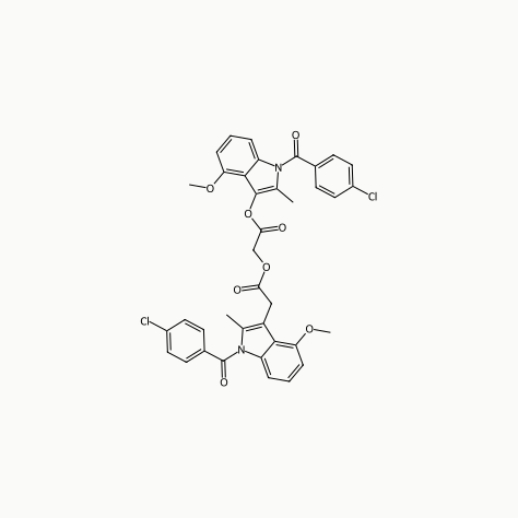 COc1cccc2c1c(CC(=O)OCC(=O)Oc1c(C)n(C(=O)c3ccc(Cl)cc3)c3cccc(OC)c13)c(C)n2C(=O)c1ccc(Cl)cc1